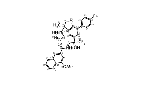 COc1cc(C(=O)NC[C@](O)(c2cc3c(c(-c4ccc(F)cc4)n2)OC[C@]3(C)c2nnn[nH]2)C(F)(F)F)cc2cccnc12